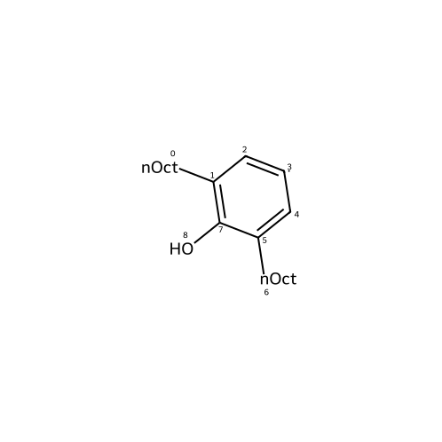 CCCCCCCCc1c[c]cc(CCCCCCCC)c1O